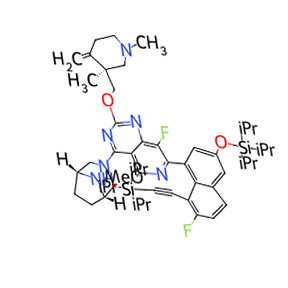 C=C1CCN(C)C[C@@]1(C)COc1nc(N2C[C@H]3CC[C@@H](C2)N3)c2c(OC)nc(-c3cc(O[Si](C(C)C)(C(C)C)C(C)C)cc4ccc(F)c(C#C[Si](C(C)C)(C(C)C)C(C)C)c34)c(F)c2n1